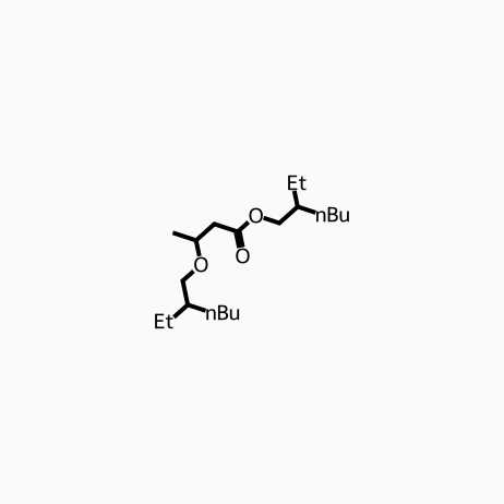 CCCCC(CC)COC(=O)CC(C)OCC(CC)CCCC